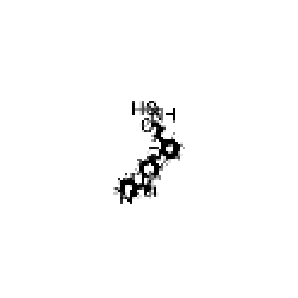 O=C(C=Cc1ccccc1OC1CCN(C(=O)c2cccnc2)CC1)NO